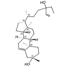 C=CC(O)(CC)CC[C@@H](C)[C@H]1CC[C@H]2[C@@H]3CC=C4C[C@@](C)(O)CC[C@]4(C)[C@H]3CC[C@]12C